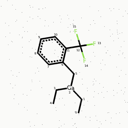 C[CH2][Ga]([CH2]C)[CH2]c1ccccc1C(F)(F)F